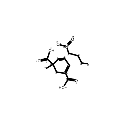 CC1(C(=O)O)C=CC=C(C(=O)O)C1.CCCC[N+](=O)[O-]